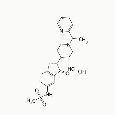 CC(c1ccccn1)N1CCC(C2Cc3ccc(NS(C)(=O)=O)cc3C2=O)CC1.Cl.Cl